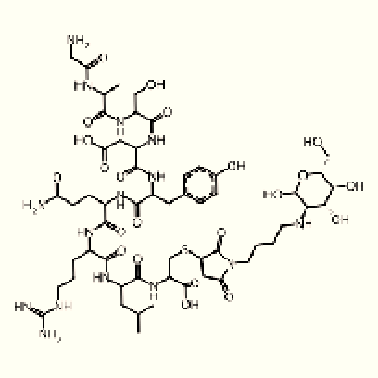 CC(C)CC(NC(=O)C(CCCNC(=N)N)NC(=O)C(CCC(N)=O)NC(=O)C(Cc1ccc(O)cc1)NC(=O)C(CC(=O)O)NC(=O)C(CO)NC(=O)C(C)NC(=O)CN)C(=O)NC(CSC1CC(=O)N(CCCCN[C@H]2C(O)O[C@H](CO)[C@@H](O)[C@@H]2O)C1=O)C(=O)O